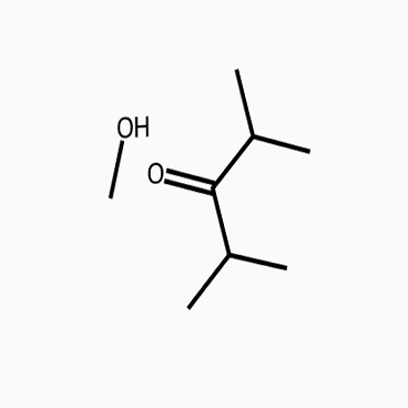 CC(C)C(=O)C(C)C.CO